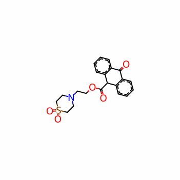 O=C1c2ccccc2C(C(=O)OCCN2CCS(=O)(=O)CC2)c2ccccc21